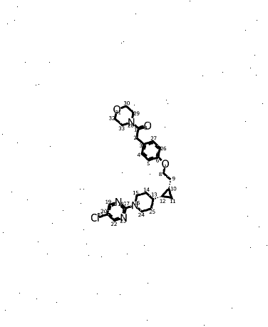 O=C(Cc1ccc(OCC[C@@H]2C[C@@H]2C2CCN(c3ncc(Cl)cn3)CC2)cc1)N1CCOCC1